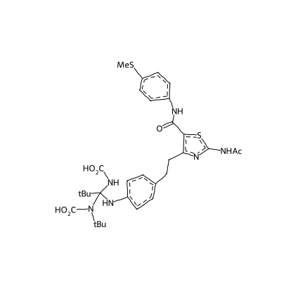 CSc1ccc(NC(=O)c2sc(NC(C)=O)nc2CCc2ccc(NC(NC(=O)O)(N(C(=O)O)C(C)(C)C)C(C)(C)C)cc2)cc1